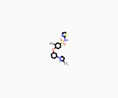 N#Cc1cc(S(=O)(=O)Nc2nccs2)ccc1Oc1cccc(-n2ccc(C(F)(F)F)n2)c1